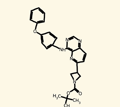 CC(C)(C)OC(=O)N1CC(c2ccc3ncnc(Nc4ccc(Oc5ccccc5)cc4)c3n2)C1